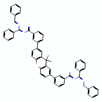 CC1(C)c2cc(-c3cccc(C(=N)/N=C(\N=C\c4ccccc4)c4ccccc4)c3)ccc2Oc2ccc(-c3cccc(/C(N)=N/C(=N\Cc4ccccc4)c4ccccc4)c3)cc21